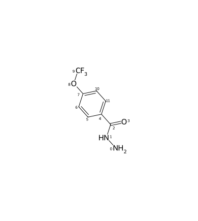 NNC(=O)c1ccc(OC(F)(F)F)cc1